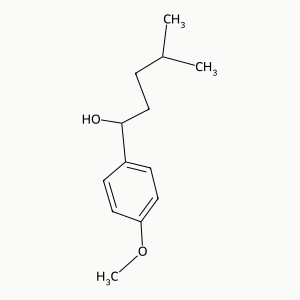 COc1ccc(C(O)CCC(C)C)cc1